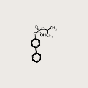 CC(C)OP(=O)(O)Oc1ccc(-c2ccccc2)cc1